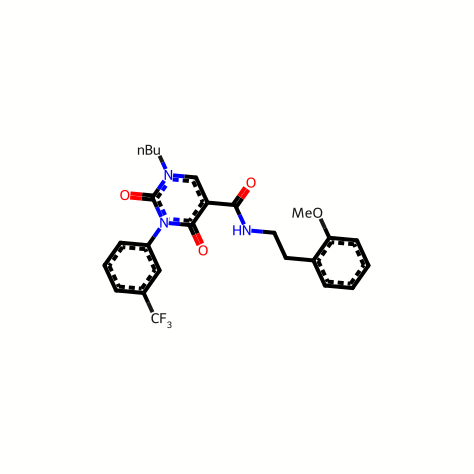 CCCCn1cc(C(=O)NCCc2ccccc2OC)c(=O)n(-c2cccc(C(F)(F)F)c2)c1=O